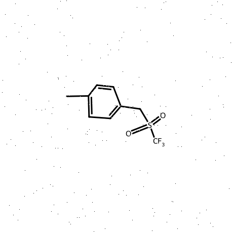 Cc1ccc(CS(=O)(=O)C(F)(F)F)cc1